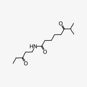 CCC(=O)CCNC(=O)CCCCC(=O)C(C)C